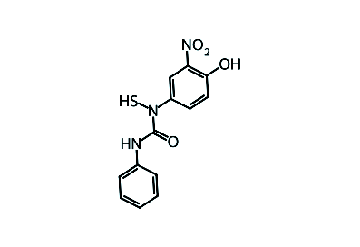 O=C(Nc1ccccc1)N(S)c1ccc(O)c([N+](=O)[O-])c1